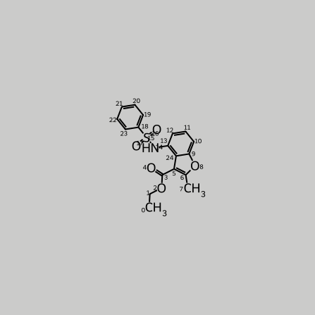 CCOC(=O)c1c(C)oc2cccc(NS(=O)(=O)c3ccccc3)c12